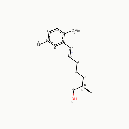 CCc1ccc(OC)c(/C=C/CCC[C@@H](C)CO)c1